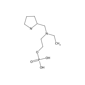 CCN(CCOP(=O)(O)O)CC1CCC[N]1